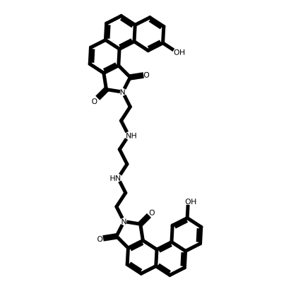 O=C1c2ccc3ccc4ccc(O)cc4c3c2C(=O)N1CCNCCNCCN1C(=O)c2ccc3ccc4ccc(O)cc4c3c2C1=O